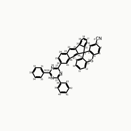 N#Cc1ccc2c(c1)C1(c3ccccc3S2)c2ccccc2-c2cc3ccc(-c4nc(-c5ccccc5)nc(-c5ccccc5)n4)cc3cc21